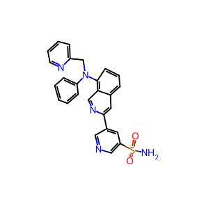 NS(=O)(=O)c1cncc(-c2cc3cccc(N(Cc4ccccn4)c4ccccc4)c3cn2)c1